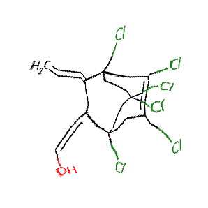 C=C1C(=CO)C2(Cl)C(Cl)=C(Cl)C1(Cl)C2(Cl)Cl